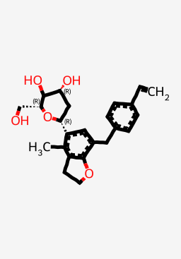 C=Cc1ccc(Cc2cc([C@H]3C[C@@H](O)C(O)[C@@H](CO)O3)c(C)c3c2OCC3)cc1